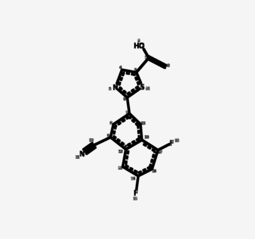 C=C(O)c1cnc(-c2cc(C#N)c3cc(F)cc(F)c3c2)s1